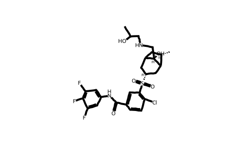 CC(O)CNC[C@@]1(O)C2C[C@@H](S(=O)(=O)c3cc(C(=O)Nc4cc(F)c(F)c(F)c4)ccc3Cl)CC1[C@@H](C)C2